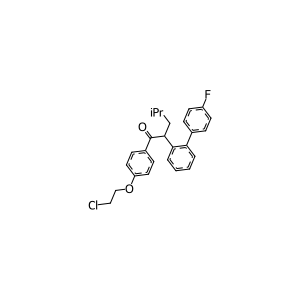 CC(C)CC(C(=O)c1ccc(OCCCl)cc1)c1ccccc1-c1ccc(F)cc1